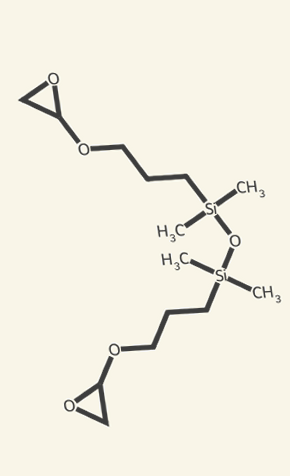 C[Si](C)(CCCOC1CO1)O[Si](C)(C)CCCOC1CO1